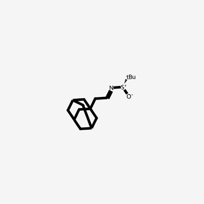 CC(C)(C)[S@+]([O-])/N=C/CC12CC3CC(CC(C3)C1)C2